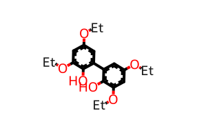 CCOc1cc(OCC)c(O)c(-c2cc(OCC)cc(OCC)c2O)c1